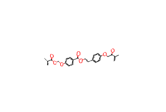 C=C(C)C(=O)COc1ccc(CCOC(=O)c2ccc(OCOC(=O)C(=C)C)cc2)cc1